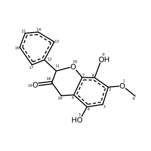 COc1cc(O)c2c(c1O)OC(c1ccccc1)C(=O)C2